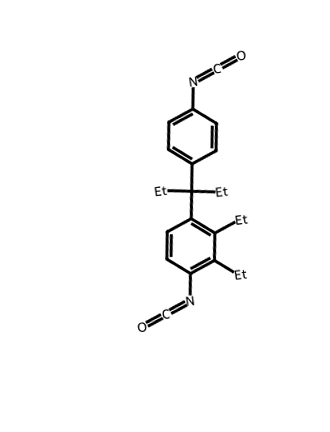 CCc1c(N=C=O)ccc(C(CC)(CC)c2ccc(N=C=O)cc2)c1CC